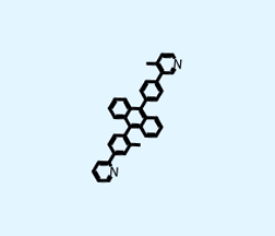 Cc1ccncc1-c1ccc(-c2c3ccccc3c(-c3ccc(-c4ccccn4)cc3C)c3ccccc23)cc1